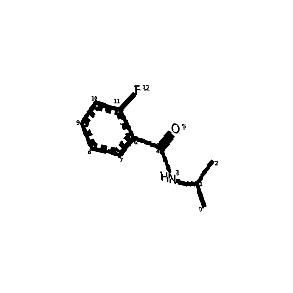 CC(C)NC(=O)c1[c]cccc1F